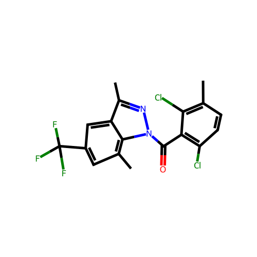 Cc1ccc(Cl)c(C(=O)n2nc(C)c3cc(C(F)(F)F)cc(C)c32)c1Cl